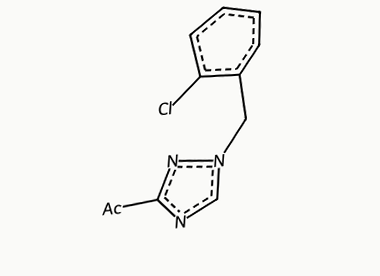 CC(=O)c1ncn(Cc2ccccc2Cl)n1